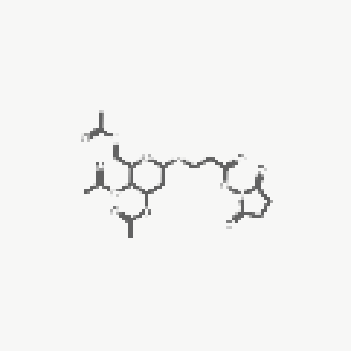 CC(=O)OCC1OC(SCCC(=O)ON2C(=O)CCC2=O)CC(OC(C)=O)C1OC(C)=O